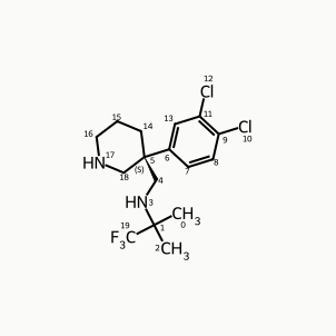 CC(C)(NC[C@]1(c2ccc(Cl)c(Cl)c2)CCCNC1)C(F)(F)F